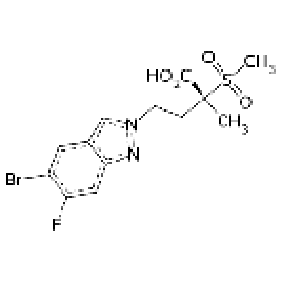 C[C@@](CCn1cc2cc(Br)c(F)cc2n1)(C(=O)O)S(C)(=O)=O